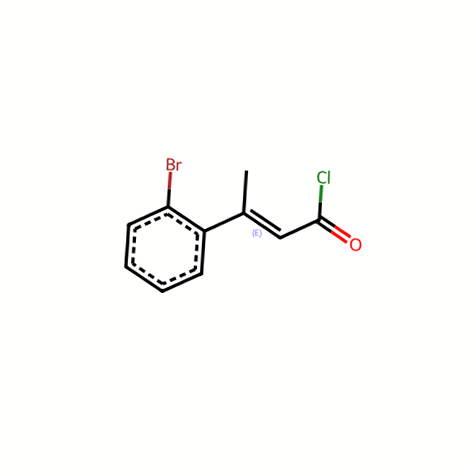 C/C(=C\C(=O)Cl)c1ccccc1Br